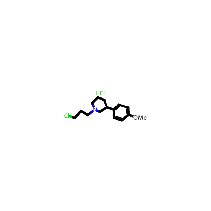 COc1ccc(C2CCCN(CCCCl)C2)cc1.Cl